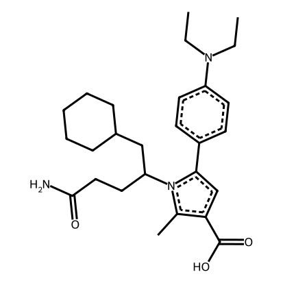 CCN(CC)c1ccc(-c2cc(C(=O)O)c(C)n2C(CCC(N)=O)CC2CCCCC2)cc1